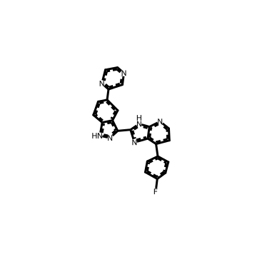 Fc1ccc(-c2ccnc3[nH]c(-c4n[nH]c5ccc(-c6cnccn6)cc45)nc23)cc1